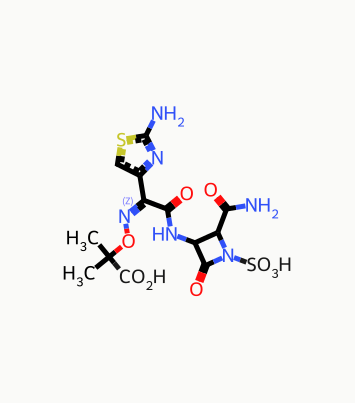 CC(C)(O/N=C(\C(=O)NC1C(=O)N(S(=O)(=O)O)C1C(N)=O)c1csc(N)n1)C(=O)O